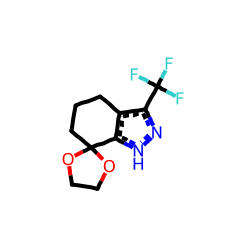 FC(F)(F)c1n[nH]c2c1CCCC21OCCO1